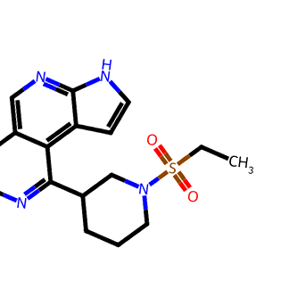 CCS(=O)(=O)N1CCCC(c2nccc3cnc4[nH]ccc4c23)C1